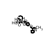 Cc1cc(COc2ccc(S(=O)(=O)NCC(C(=O)NO)N3CCCCCCN3)cc2)c2ccccc2n1